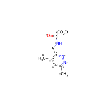 CCOC(=O)C(=O)NCc1nnc(C)cc1C